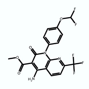 COC(=O)c1c(N)c2ccc(C(F)(F)F)nc2n(-c2ccc(OC(F)F)cc2)c1=O